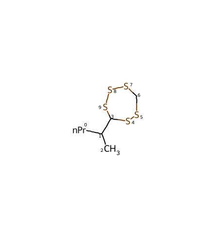 CCCC(C)C1SSCSSS1